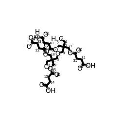 CCC(COCC(CC)(COC(=O)CCC(=O)O)COC(=O)CCC(=O)O)(COC(=O)CCC(=O)O)COC(=O)CCC(=O)O